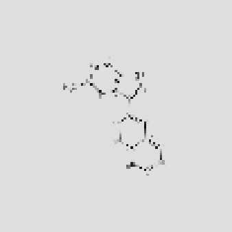 Cc1cnc2[nH]cc(-c3ccc4ncncc4c3)c2c1